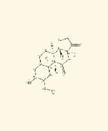 C=C1CC[C@H]2[C@@H]3CCC4CC(O)C(OCC)C[C@]4(C)[C@@H]3C(=O)C[C@]12C